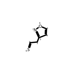 S=[C]Cc1ccon1